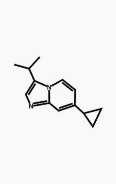 CC(C)c1cnc2cc(C3CC3)ccn12